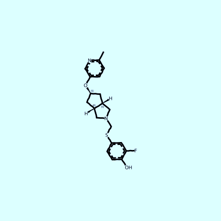 Cc1ccc(O[C@H]2C[C@@H]3CN(CSc4ccc(O)c(F)c4)C[C@@H]3C2)cn1